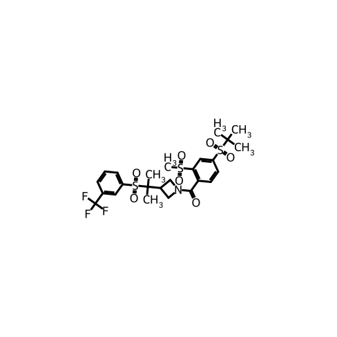 CC(C)(C)S(=O)(=O)c1ccc(C(=O)N2CC(C(C)(C)S(=O)(=O)c3cccc(C(F)(F)F)c3)C2)c(S(C)(=O)=O)c1